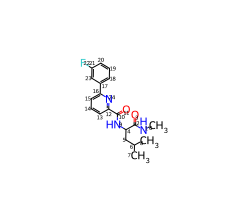 CNC(=O)C(CC(C)C)NC(=O)c1cccc(-c2cccc(F)c2)n1